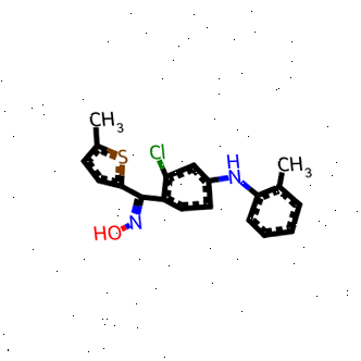 Cc1ccc(C(=NO)c2ccc(Nc3ccccc3C)cc2Cl)s1